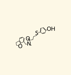 CN(Cc1cccc2c1OCC2)C(=O)CCCSc1ccc(O)cc1